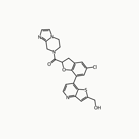 O=C(C1Cc2cc(Cl)cc(-c3ccnc4cc(CO)sc34)c2O1)N1CCn2ccnc2C1